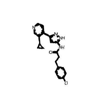 O=C(CCc1ccc(Cl)cc1)Nc1cc(-c2ccncc2C2CC2)n[nH]1